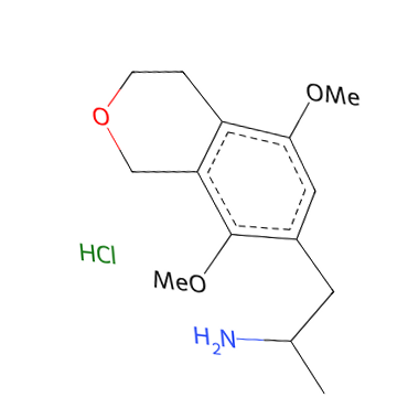 COc1cc(CC(C)N)c(OC)c2c1CCOC2.Cl